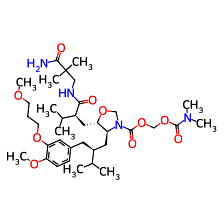 COCCCOc1cc(C[C@@H](C[C@H]2[C@H](C[C@H](C(=O)NCC(C)(C)C(N)=O)C(C)C)OCN2C(=O)OCOC(=O)N(C)C)C(C)C)ccc1OC